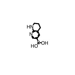 OB(O)c1cnc2c(c1)CCCN2